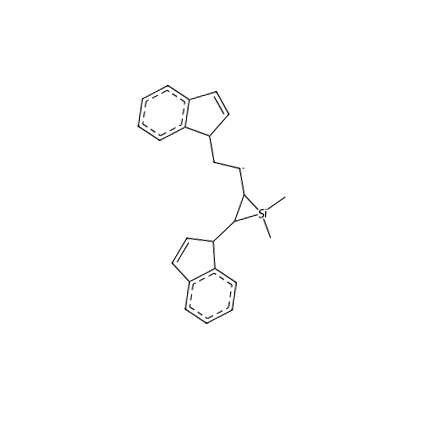 C[Si]1(C)C([CH]CC2C=Cc3ccccc32)C1C1C=Cc2ccccc21